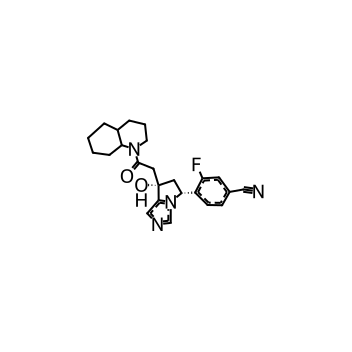 N#Cc1ccc([C@H]2C[C@](O)(CC(=O)N3CCCC4CCCCC43)c3cncn32)c(F)c1